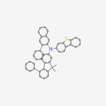 CC1(C)c2cc(N(c3ccc4c(c3)sc3ccccc34)c3cc4ccccc4cc3-c3ccccc3)ccc2-c2c(-c3ccccc3)cccc21